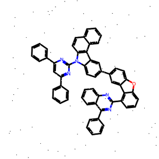 c1ccc(-c2cc(-c3ccccc3)nc(-n3c4ccc(-c5ccc6oc7cccc(-c8nc(-c9ccccc9)c9ccccc9n8)c7c6c5)cc4c4c5ccccc5ccc43)n2)cc1